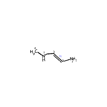 CN/C=C/N